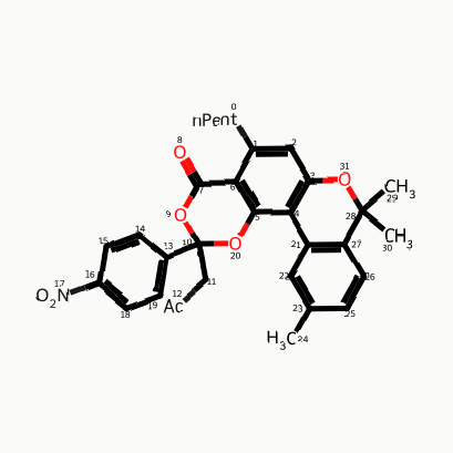 CCCCCc1cc2c(c3c1C(=O)OC(CC(C)=O)(c1ccc([N+](=O)[O-])cc1)O3)-c1cc(C)ccc1C(C)(C)O2